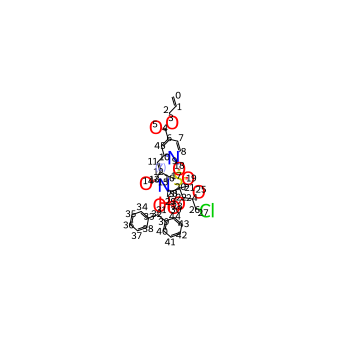 C=CCOC(=O)c1ccnc(/C=C2/C(=O)N3C2S(=O)(=O)C(C)(C(O)C(=O)CCl)[C@@H]3C(=O)OC(c2ccccc2)c2ccccc2)c1